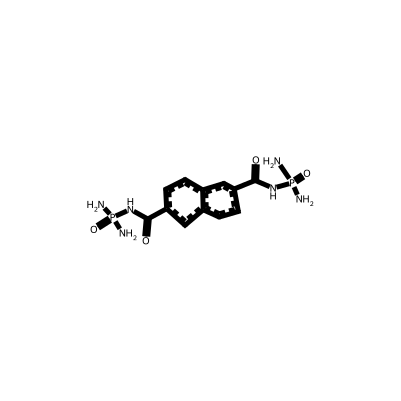 NP(N)(=O)NC(=O)c1ccc2cc(C(=O)NP(N)(N)=O)ccc2c1